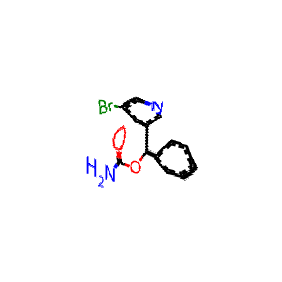 NC(=O)OC(c1ccccc1)c1cncc(Br)c1